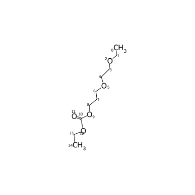 CCOCCOCCCOC(=O)OCC